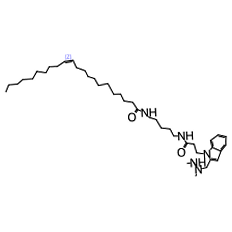 CCCCCCCCC/C=C\CCCCCCCCCCC(=O)NCCCCCNC(=O)CCn1c(CN(C)NC)cc2ccccc21